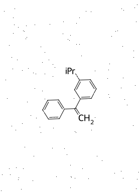 C=C(c1ccccc1)c1cccc(C(C)C)c1